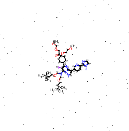 COCCOC1(C(=O)COCOC)CCC(c2nc3c(-c4ccc(-c5ncc[nH]5)nc4)cnn3c(N(COCC[Si](C)(C)C)COCC[Si](C)(C)C)c2I)CC1